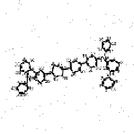 c1ccc(-c2cccc(N(c3ccccc3)c3ccc(-c4ccc(-c5ccc(-c6ccc7c(c6)c6ccccc6n7-c6ccccc6)cc5)cc4)cc3)c2)cc1